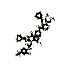 CCN(CC)c1ncnc(C(=O)N2CCC3(CC2)CC(C)c2c3c(=O)n3nc(C4=CCOCC4)nc3n2CC(=O)Nc2ccc(C(F)(F)F)cc2Cl)c1OCc1ccccc1